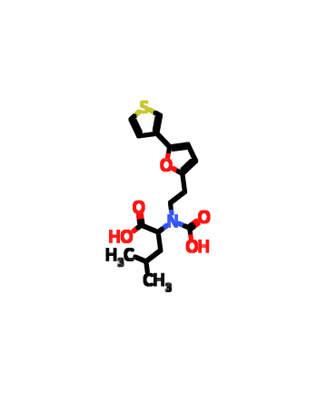 CC(C)CC(C(=O)O)N(CCc1ccc(-c2ccsc2)o1)C(=O)O